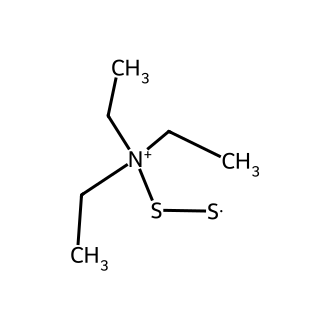 CC[N+](CC)(CC)S[S]